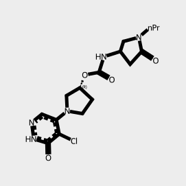 CCCN1CC(NC(=O)O[C@@H]2CCN(c3cn[nH]c(=O)c3Cl)C2)CC1=O